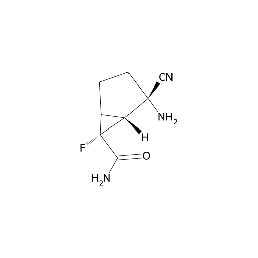 N#C[C@]1(N)CCC2[C@H]1[C@@]2(F)C(N)=O